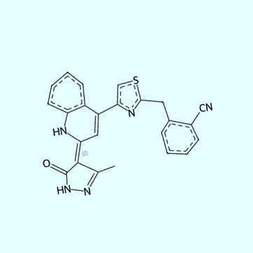 CC1=NNC(=O)/C1=C1/C=C(c2csc(Cc3ccccc3C#N)n2)c2ccccc2N1